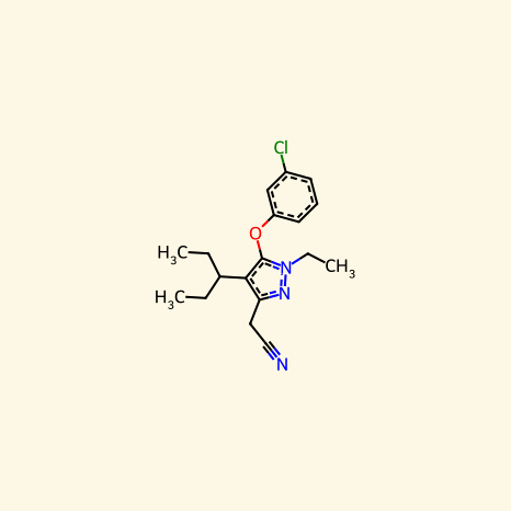 CCC(CC)c1c(CC#N)nn(CC)c1Oc1cccc(Cl)c1